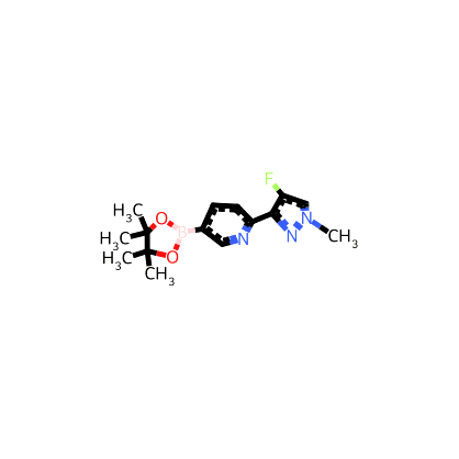 Cn1cc(F)c(-c2ccc(B3OC(C)(C)C(C)(C)O3)cn2)n1